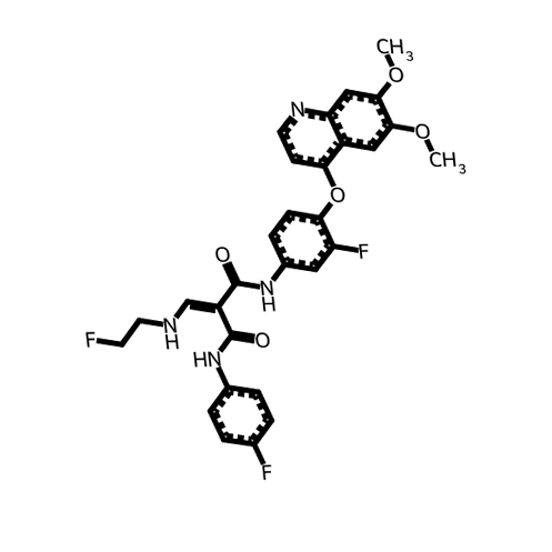 COc1cc2nccc(Oc3ccc(NC(=O)/C(=C/NCCF)C(=O)Nc4ccc(F)cc4)cc3F)c2cc1OC